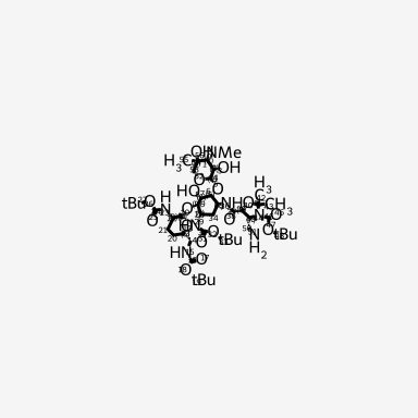 CN[C@@H]1[C@@H](O)[C@@H](O[C@@H]2[C@@H](O)[C@H](O[C@H]3O[C@H](CNC(=O)OC(C)(C)C)CC[C@H]3NC(=O)OC(C)(C)C)[C@@H](NC(=O)OC(C)(C)C)C[C@H]2NC(=O)[C@H]2OC(C)(C)N(C(=O)OC(C)(C)C)[C@@H]2CN)OC[C@]1(C)O